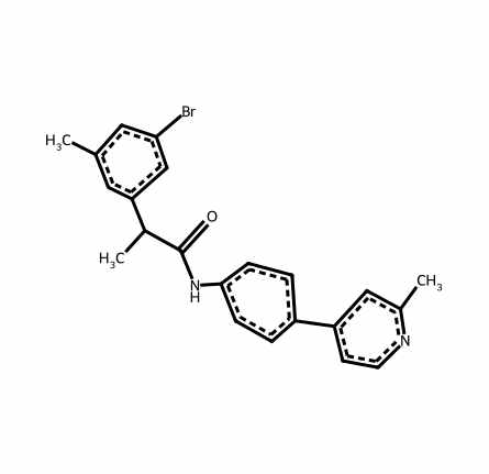 Cc1cc(Br)cc(C(C)C(=O)Nc2ccc(-c3ccnc(C)c3)cc2)c1